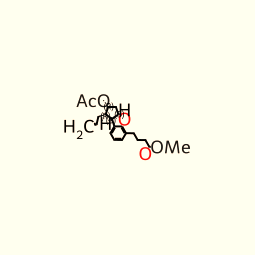 C=CC[C@@H]1[C@H]2c3cccc(CCCC(=O)OC)c3O[C@H]2C[C@H]1OC(C)=O